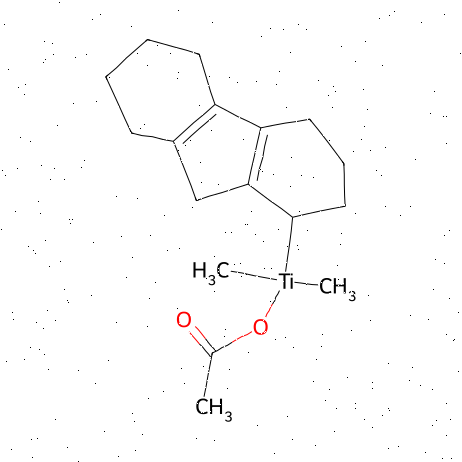 CC(=O)[O][Ti]([CH3])([CH3])[CH]1CCCC2=C1CC1=C2CCCC1